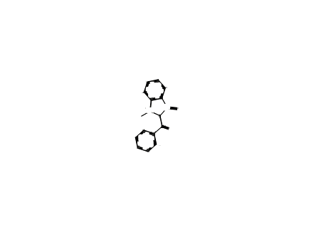 C=S1c2ccccc2N(C)C1C(=O)c1ccccc1